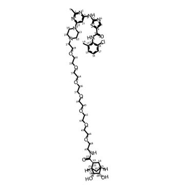 Cc1nc(Nc2ncc(C(=O)Nc3c(C)cccc3Cl)s2)cc(N2CCN(CCOCCOCCOCCOCCOCCOCCOCCNC(=O)[C@H]3C[C@H]4C[C@@H]3[C@@H](O)[C@H]4O)CC2)n1